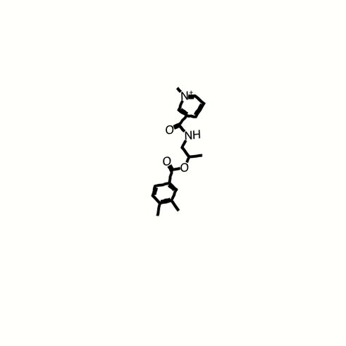 Cc1ccc(C(=O)OC(C)CNC(=O)c2ccc[n+](C)c2)cc1C